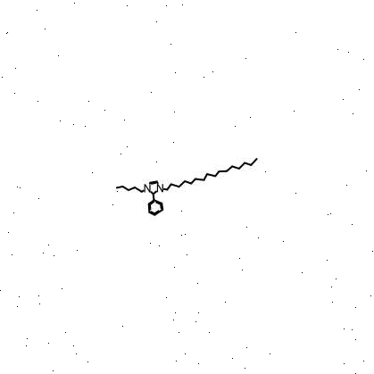 CCCCCCCCCCCCCCCCN1C=CN(CCCCC)C1c1ccccc1